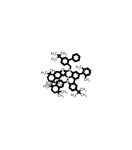 Cc1cccc(C)c1-c1cc2c3c(c1)N(Cc1ccc(C(C)(C)C)cc1-c1ccccc1)c1oc4cc5c(cc4c1B3N(c1ccc3c(c1)C(C)(C)CCC3(C)C)c1ccc(C(C)(C)C)cc1-2)C(C)(C)CCC5(C)C